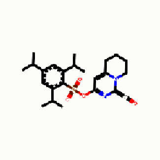 CC(C)c1cc(C(C)C)c(S(=O)(=O)OC2=NC(=C=O)N3CCCCC3=C2)c(C(C)C)c1